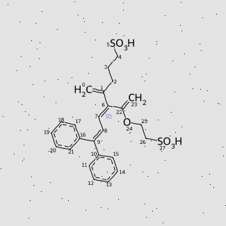 C=C(CCCS(=O)(=O)O)/C(=C/C=C(c1ccccc1)c1ccccc1)C(=C)OCCS(=O)(=O)O